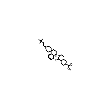 CCN(C(=O)C1CCN(C(=O)OC)CC1)[C@H]1CCC2(CCN(CCC(C)(C)C)CC2)c2ccccc21